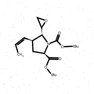 C/C=C\[C@@H]1C[C@H](C(=O)OC(C)(C)C)N(C(=O)OC(C)(C)C)[C@H]1C1CO1